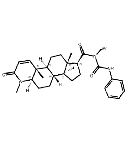 CC(C)N(C(=O)Nc1ccccc1)C(=O)[C@H]1CC[C@H]2[C@@H]3CC[C@H]4N(C)C(=O)C=C[C@]4(C)[C@H]3CC[C@]12C